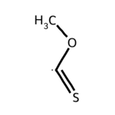 CO[C]=S